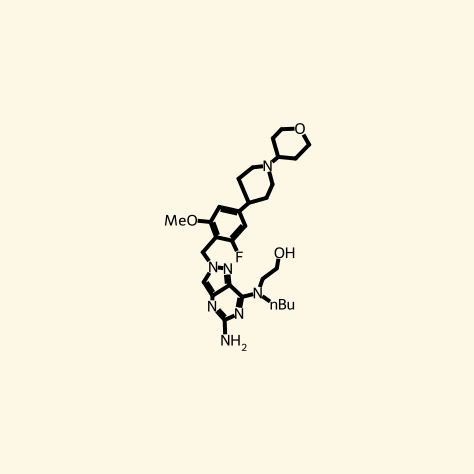 CCCCN(CCO)c1nc(N)nc2cn(Cc3c(F)cc(C4CCN(C5CCOCC5)CC4)cc3OC)nc12